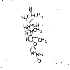 CCc1c(Oc2ccnc(NC=O)c2)cnc2nc(NC(=N)/C=C/C(C)(C)C#N)n(C)c12